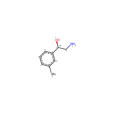 CC(C)(C)c1cccc([C@@H](O)CN)c1